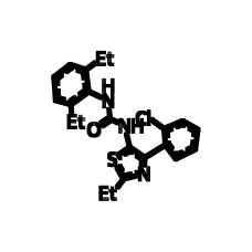 CCc1nc(-c2ccccc2Cl)c(NC(=O)Nc2c(CC)cccc2CC)s1